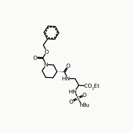 CCCCS(=O)(=O)NC(CNC(=O)[C@@H]1CCCN(C(=O)OCc2ccccc2)C1)C(=O)OCC